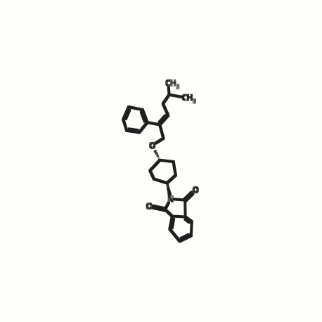 CC(C)C/C=C(/CO[C@H]1CC[C@H](N2C(=O)c3ccccc3C2=O)CC1)c1ccccc1